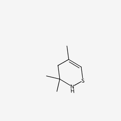 CC1=CSNC(C)(C)C1